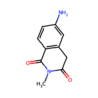 CN1C(=O)Cc2cc(N)ccc2C1=O